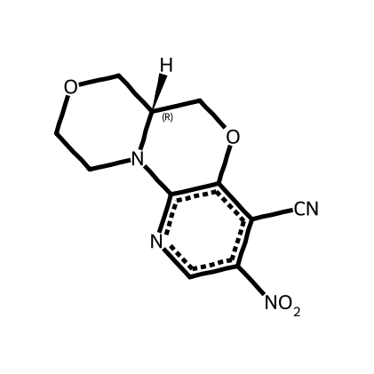 N#Cc1c([N+](=O)[O-])cnc2c1OC[C@H]1COCCN21